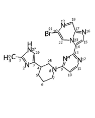 Cc1nc(C2CCCN(c3ccnc(-c4cnc5cnc(Br)cn45)n3)C2)c[nH]1